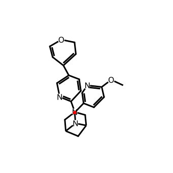 COc1ccc(CN2C3CC2CN(c2ccc(C4=CCOC=C4)cn2)C3)cn1